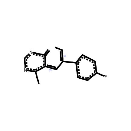 C=c1ncnc(C)/c1=C/C(=C\C)c1ccc(F)cc1